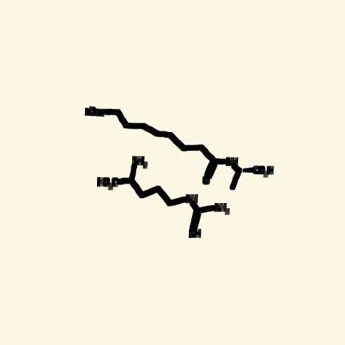 CCCCCCCCCCCCCCCCCC(=O)N[C@@H](C)C(=O)O.N=C(N)NCCCC(N)C(=O)O